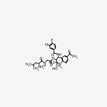 CC(=O)c1ccc2c(c1)[C@H](NC(=O)c1ccc(F)c(Cl)c1)[C@H](OC(=O)CNC(=O)[C@@H](N)CC(C)C)C(C)(C)O2.Cl